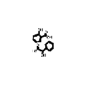 O=C(O)C(O)c1ccccc1.O=C(O)c1ccccc1O